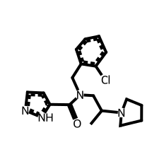 CC(CN(Cc1ccccc1Cl)C(=O)c1ccn[nH]1)N1CCCC1